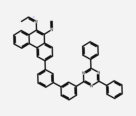 C=Nc1c(/N=C\C)c2ccccc2c2cc(-c3cccc(-c4cccc(-c5nc(-c6ccccc6)nc(-c6ccccc6)n5)c4)c3)ccc12